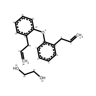 C=CCc1ccccc1Oc1ccccc1CC=C.OCCO